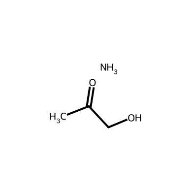 CC(=O)CO.N